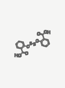 O=C(O)c1ccccc1OSSOc1ccccc1C(=O)O